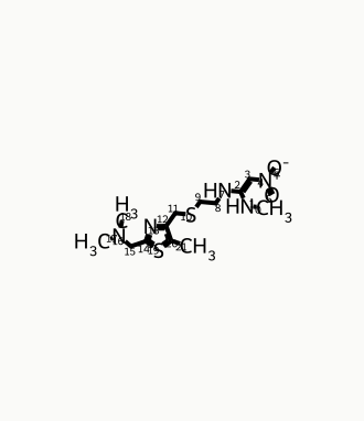 CNC(=C[N+](=O)[O-])NCCSCc1nc(CN(C)C)sc1C